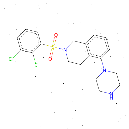 O=S(=O)(c1cccc(Cl)c1Cl)N1CCc2c(cccc2N2CCNCC2)C1